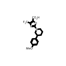 COc1ccc(C2CCCN(c3nc(C(F)(F)F)c(C(=O)O)o3)C2)cc1